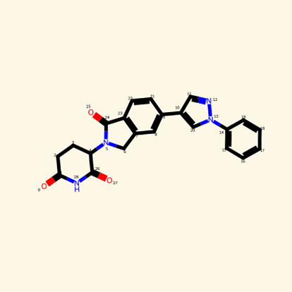 O=C1CCC(N2Cc3cc(-c4cnn(-c5ccccc5)c4)ccc3C2=O)C(=O)N1